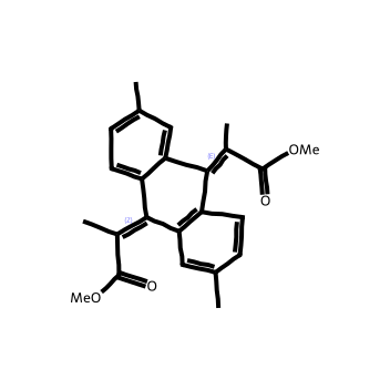 COC(=O)/C(C)=c1\c2cc(C)ccc2/c(=C(/C)C(=O)OC)c2cc(C)ccc12